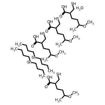 CCC[CH2][Sn][CH2]CCC.CCC[CH2][Sn][CH2]CCC.COC(C)CCC(CS)C(=O)O.COC(C)CCC(CS)C(=O)O.COC(C)CCC(CS)C(=O)O.COC(C)CCC(CS)C(=O)O.O